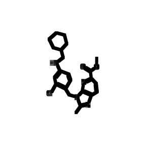 COC(=O)c1ccc2nc(C)n(Cc3ccc(NCC4CCCCC4)cc3Cl)c2n1